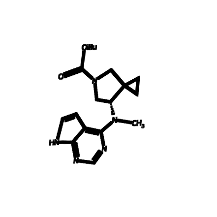 CC(C)COC(=O)N1C[C@@H](N(C)c2ncnc3[nH]ccc23)C2(CC2)C1